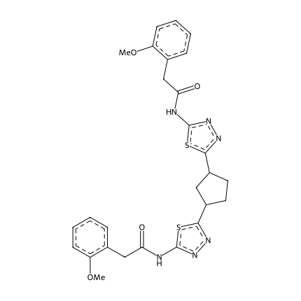 COc1ccccc1CC(=O)Nc1nnc(C2CCC(c3nnc(NC(=O)Cc4ccccc4OC)s3)C2)s1